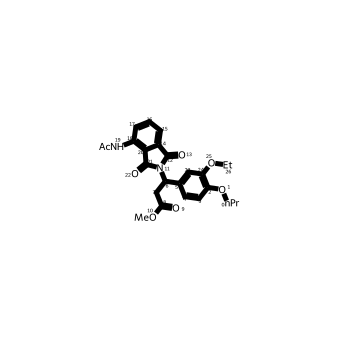 CCCOc1ccc(C(CC(=O)OC)N2C(=O)c3cccc(NC(C)=O)c3C2=O)cc1OCC